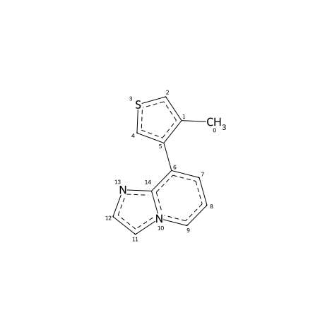 Cc1cscc1-c1cccn2ccnc12